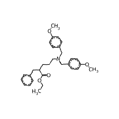 CCOC(=O)C(CCCN(Cc1ccc(OC)cc1)Cc1ccc(OC)cc1)Cc1ccccc1